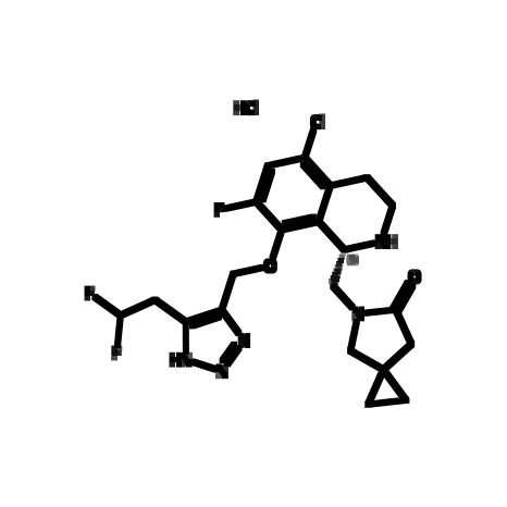 Cl.O=C1CC2(CC2)CN1C[C@H]1NCCc2c(Cl)cc(F)c(OCc3nn[nH]c3CC(F)F)c21